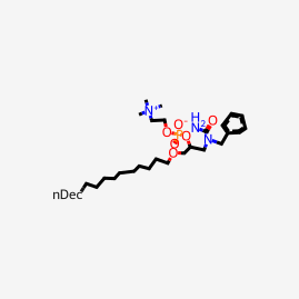 CCCCCCCCCCCCCCCCCCCCOCC(CN(Cc1ccccc1)C(N)=O)OP(=O)([O-])OCC[N+](C)(C)C